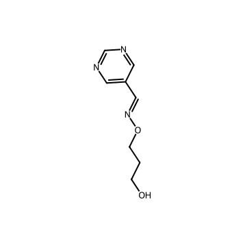 OCCCON=Cc1cncnc1